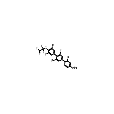 CCCc1ccc(-c2cc(F)c(-c3cc(F)c(OC(F)(F)C(F)F)c(F)c3)c(F)c2)c(F)c1